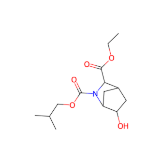 CCOC(=O)C1C2CC(O)C(C2)N1C(=O)OCC(C)C